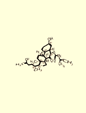 C=C(O)CC[C@@H](C)[C@H]1CC[C@H]2[C@@H]3C(=O)[C@H](OC(=O)NC(C)C)[C@@H]4C[C@H](O)CC[C@]4(C)[C@H]3CC[C@]12C